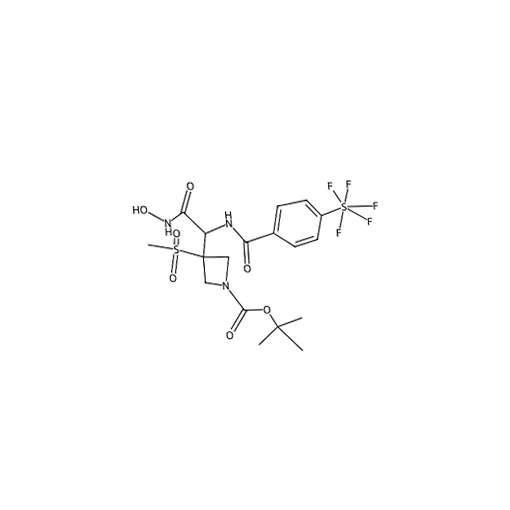 CC(C)(C)OC(=O)N1CC(C(NC(=O)c2ccc(S(F)(F)(F)(F)F)cc2)C(=O)NO)(S(C)(=O)=O)C1